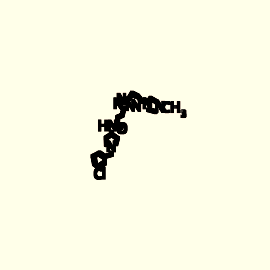 CN1CCN(c2ccc3nnc(CCC(=O)NC4CCN(Cc5cccc(Cl)c5)CC4)n3n2)CC1